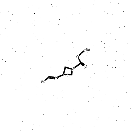 CC(=O)C=NC1CN(C(=O)OC(C)(C)C)C1